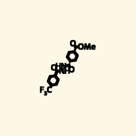 COC(=O)[C@H]1CC[C@H](C(=O)NNC(=O)C2CCC(C(F)(F)F)CC2)CC1